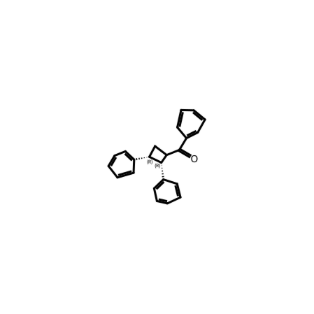 O=C(c1ccccc1)C1C[C@@H](c2ccccc2)[C@H]1c1ccccc1